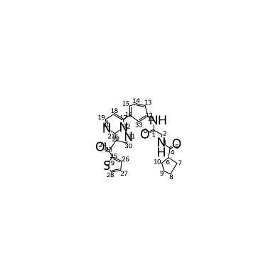 O=C(CNC(=O)C1CCCC1)Nc1cccc(-c2ccnc3c(C(=O)c4cccs4)cnn23)c1